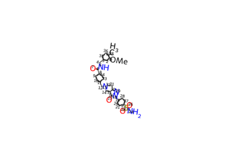 COc1cc(CNC(=O)c2ccc(CN3C=C4C(=O)N(c5ccc(S(N)(=O)=O)cc5)N=C4CC3)cc2)ccc1C